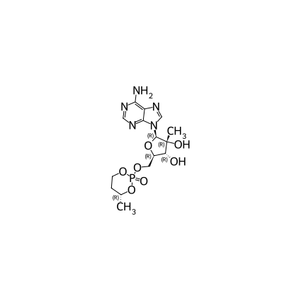 C[C@@H]1CCOP(=O)(OC[C@H]2O[C@@H](n3cnc4c(N)ncnc43)[C@](C)(O)[C@@H]2O)O1